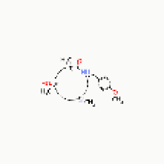 COc1ccc(CC2CC/C(C)=C\CCC[C@@](C)(O)CCC[C@@H](C)C(=O)N2)cc1